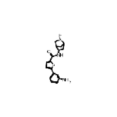 Nc1cccc(-c2ccc(C(=O)NC3CC4CC3CN4)s2)c1